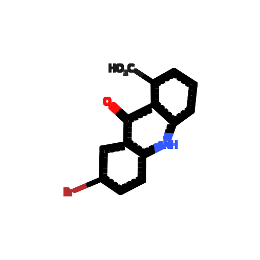 O=C(O)c1cccc2[nH]c3ccc(Br)cc3c(=O)c12